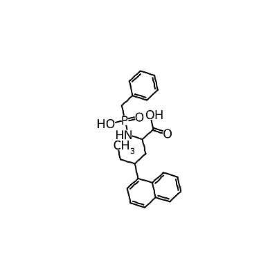 CCC(CC(NP(=O)(O)Cc1ccccc1)C(=O)O)c1cccc2ccccc12